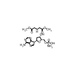 COC(=O)CNCC(=O)OC.Nc1ncnc2c1ncn2[C@H]1C[C@H](O)[C@@H](COP(N)(=O)O)O1